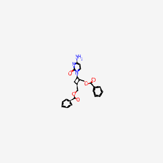 Nc1ccn(C2CC(COC(=O)c3ccccc3)C2COC(=O)c2ccccc2)c(=O)n1